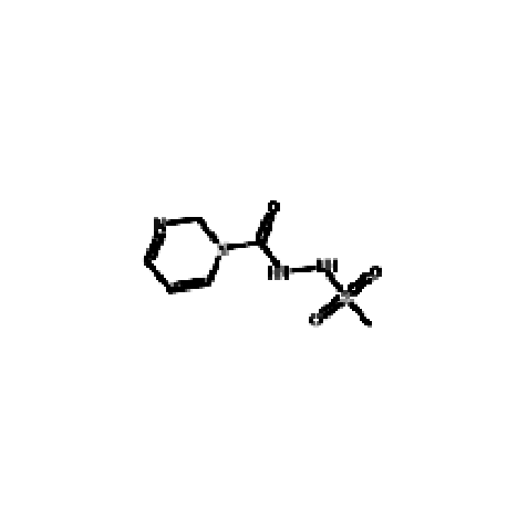 CS(=O)(=O)NNC(=O)N1C=CC=NC1